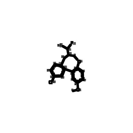 COc1cc2c(cn1)OCC(C(F)F)Cc1ccc(Cl)cc1-2